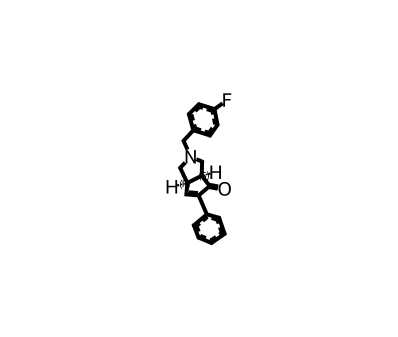 O=C1C(c2ccccc2)=C[C@H]2CN(Cc3ccc(F)cc3)C[C@@H]12